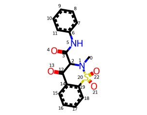 CN1C(C(=O)Nc2ccccc2)C(=O)c2ccccc2S1(=O)=O